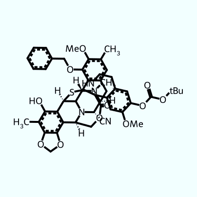 COc1cc2c(cc1OC(=O)OC(C)(C)C)CCN[C@]21CS[C@@H]2c3c(O)c(C)c4c(c3[C@H](COC1=O)N1C2[C@@H]2c3c(cc(C)c(OC)c3OCc3ccccc3)C[C@@H]([C@@H]1C#N)N2C)OCO4